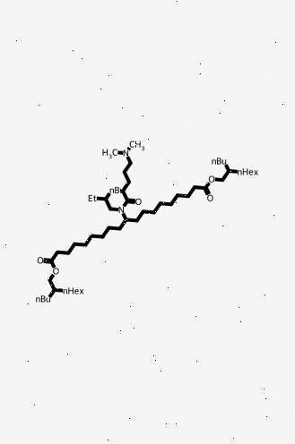 CCCCCCC(CCCC)COC(=O)CCCCCCCCC(CCCCCCCCC(=O)OCC(CCCC)CCCCCC)N(CC(CC)CCCC)C(=O)CCCCN(C)C